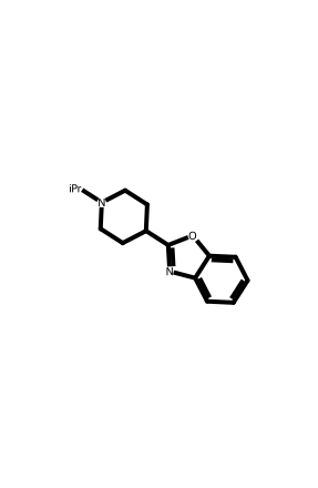 CC(C)N1CCC(c2nc3ccccc3o2)CC1